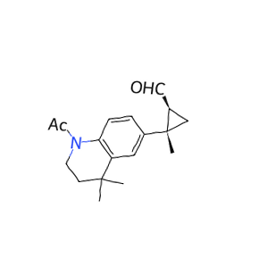 CC(=O)N1CCC(C)(C)c2cc([C@@]3(C)C[C@@H]3C=O)ccc21